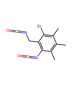 CCc1c(C)c(C)c(C)c(N=C=O)c1CN=C=O